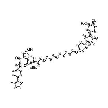 Cc1ncsc1-c1ccc(CNC(=O)[C@@H]2C[C@H](O)CN2C(=O)[C@H](NC(=O)COCCCOCCCCCOc2ccc(C3C(=S)N(c4ccc(C#N)c(C(F)(F)F)c4)C(=O)C3(C)C)cc2)C(C)(C)C)cc1